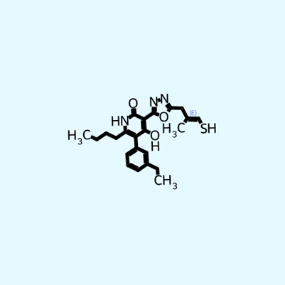 CCCCc1[nH]c(=O)c(-c2nnc(C/C(C)=C/S)o2)c(O)c1-c1cccc(CC)c1